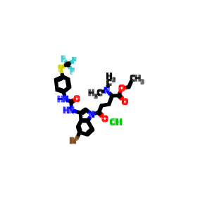 CCOC(=O)C(CCC(=O)n1cc(NC(=O)Nc2ccc(SC(F)(F)F)cc2)c2cc(Br)ccc21)N(C)C.Cl